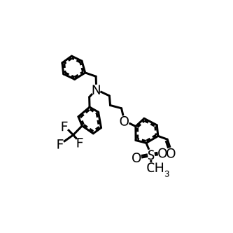 CS(=O)(=O)c1cc(OCCCN(Cc2ccccc2)Cc2cccc(C(F)(F)F)c2)ccc1C=O